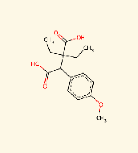 CCC(CC)(C(=O)O)C(C(=O)O)c1ccc(OC)cc1